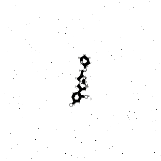 FC(F)(F)c1cc(Cl)ccc1-c1cnc2nc(COc3ccccn3)cn2c1